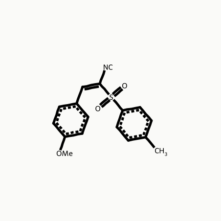 [C-]#[N+]C(=Cc1ccc(OC)cc1)S(=O)(=O)c1ccc(C)cc1